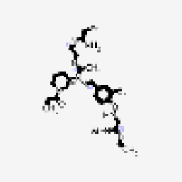 C=C/N=C(/CNOc1ccc(/C=N/N(/C(C)=N/C/C=N\C(N)=CCC)[C@@H]2CCCN(C(=O)C=C)C2)cc1CC)NC